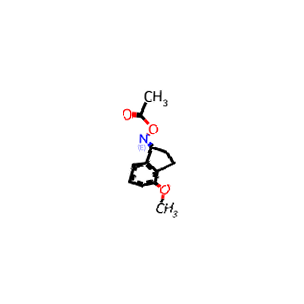 COc1cccc2c1CC/C2=N\OC(C)=O